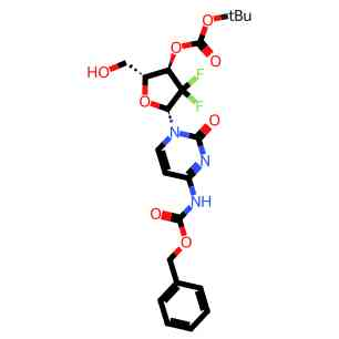 CC(C)(C)OC(=O)O[C@@H]1[C@@H](CO)O[C@@H](n2ccc(NC(=O)OCc3ccccc3)nc2=O)C1(F)F